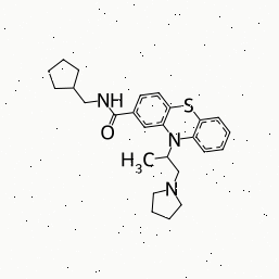 CC(CN1CCCC1)N1c2ccccc2Sc2ccc(C(=O)NCC3CCCC3)cc21